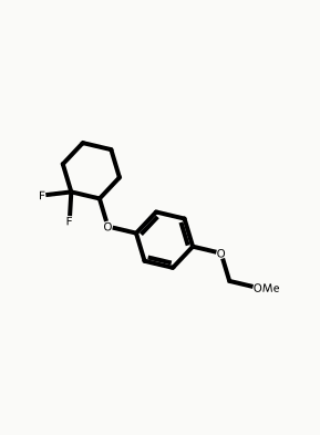 COCOc1ccc(OC2CCCCC2(F)F)cc1